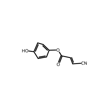 N#CC=CC(=O)Oc1ccc(O)cc1